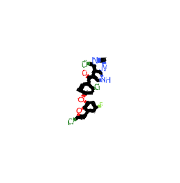 O=C(c1ccc(Oc2cc(F)cc3cc(Cl)oc23)cc1Cl)c1c[nH]c2ncnc(Cl)c12